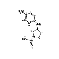 Nc1ccc(NC2CCN(C(=O)O)C2)nn1